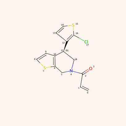 C=CC(=O)N1Cc2sccc2[C@@H](c2ccsc2Cl)C1